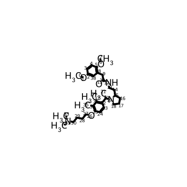 COc1ccc(OC)c(CC(=O)NCCC2CCCN2C(C)c2ccc(OCCCCN(C)C)c(C)c2C)c1